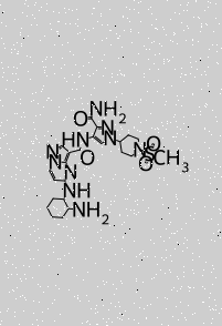 CS(=O)(=O)N1CCC(n2cc(NC(=O)c3cnn4ccc(NC5CCCCC5N)nc34)c(C(N)=O)n2)CC1